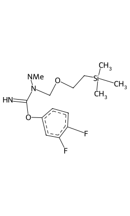 CNN(COCC[Si](C)(C)C)C(=N)Oc1ccc(F)c(F)c1